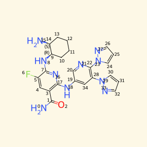 NC(=O)c1cc(F)c(N[C@@H]2CCCC[C@@H]2N)nc1Nc1cnc(-n2cccn2)c(-n2cccn2)c1